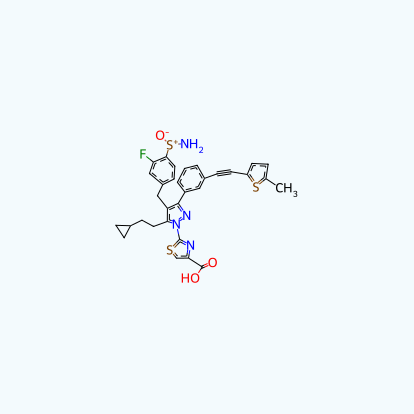 Cc1ccc(C#Cc2cccc(-c3nn(-c4nc(C(=O)O)cs4)c(CCC4CC4)c3Cc3ccc([S+](N)[O-])c(F)c3)c2)s1